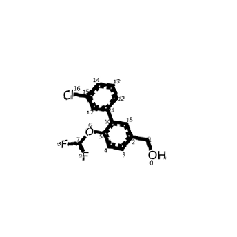 OCc1ccc(OC(F)F)c(-c2cccc(Cl)c2)c1